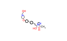 C[C@H](O)c1nccn1C(/C=C/c1ccc(-c2ccc(OC3CCN(CCO)CC3)cc2)cc1)CO